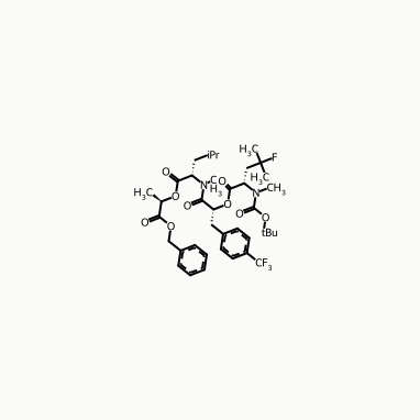 CC(C)C[C@@H](C(=O)O[C@H](C)C(=O)OCc1ccccc1)N(C)C(=O)[C@@H](Cc1ccc(C(F)(F)F)cc1)OC(=O)[C@H](CC(C)(C)F)N(C)C(=O)OC(C)(C)C